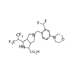 O=C(O)C1NC(C(C(F)(F)F)C(F)(F)F)C2CN(Cc3ccc(N4CCOCC4)cc3C(F)F)CC12